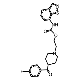 O=C(Nc1cccc2cnsc12)OCCN1CCC(C(=O)c2ccc(F)cc2)CC1